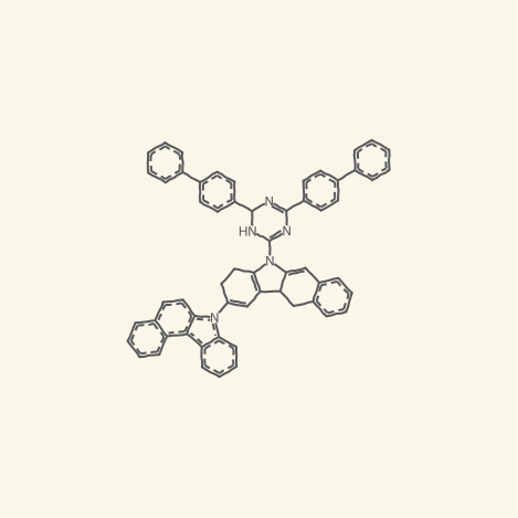 C1=C2C(Cc3ccccc31)C1=C(CCC(n3c4ccccc4c4c5ccccc5ccc43)=C1)N2C1=NC(c2ccc(-c3ccccc3)cc2)=NC(c2ccc(-c3ccccc3)cc2)N1